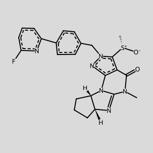 CN1C(=O)c2c(nn(Cc3ccc(-c4cccc(F)n4)cc3)c2[S@+](C)[O-])N2C1=N[C@@H]1CCC[C@@H]12